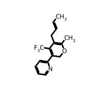 CC=CCC1=C(C)OCC(c2ccccn2)=C1C(F)(F)F